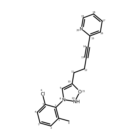 Cc1cccc(Cl)c1N1C=C(CCC#Cc2ccccn2)ON1